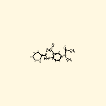 CC(=O)N(C)c1ccc(NCC2CCCCO2)c([N+](=O)[O-])c1